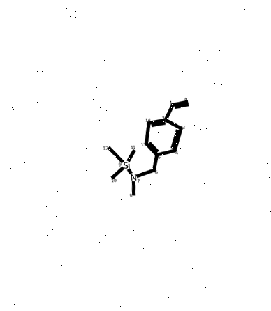 C=Cc1ccc(CN(C)[Si](C)(C)C)cc1